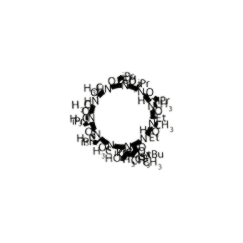 CC[C@@H]1C(=O)N(C)[C@@H](CC(C)C)C(=O)N[C@H](C(C)C)C(=O)N(C)[C@H](CC(C)C)C(=O)N[C@H](C)C(=O)N[C@@H](C)C(=O)N(C)[C@H](CC(C)C)C(=O)N(C)[C@H](CC(C)C)C(=O)N(C)[C@H](C(C)C)C(=O)N(C)[C@H]([C@@H](O[Si](C)(C)C(C)(C)C)[C@H](C)CCO)C(=O)N[C@H](CC)C(=O)N1C